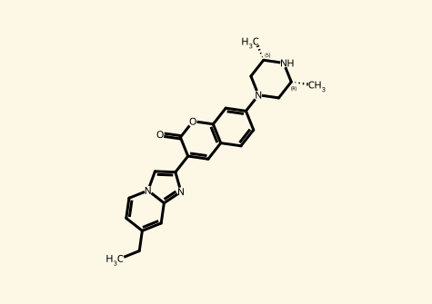 CCc1ccn2cc(-c3cc4ccc(N5C[C@@H](C)N[C@@H](C)C5)cc4oc3=O)nc2c1